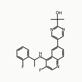 CC(Nc1c(F)cnc2ccc(-c3cnc(C(C)(C)O)nc3)cc12)c1ccccc1F